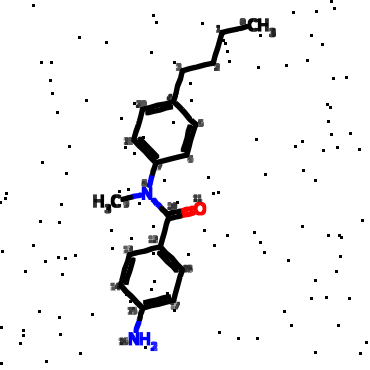 CCCCc1ccc(N(C)C(=O)c2ccc(N)cc2)cc1